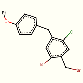 CCOc1ccc(Cc2cc(Br)c(CBr)cc2Cl)cc1